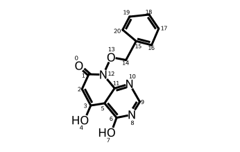 O=c1cc(O)c2c(O)ncnc2n1OCc1ccccc1